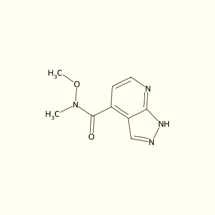 CON(C)C(=O)c1ccnc2[nH]ncc12